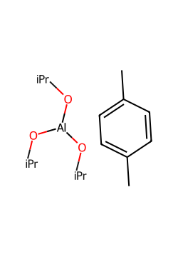 CC(C)[O][Al]([O]C(C)C)[O]C(C)C.Cc1ccc(C)cc1